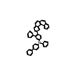 c1ccc(-c2ccc(N(c3ccccc3)c3ccc(-c4ccc5ccc6ccc7ccccc7c6c5c4)c(-c4ccccc4)c3)cc2)cc1